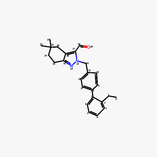 CCc1ccccc1-c1ccc(Cn2nc3c(c2C=O)CC(C)(C)CC3)cc1